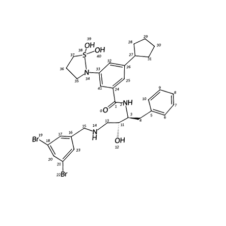 O=C(N[C@@H](Cc1ccccc1)[C@H](O)CNCc1cc(Br)cc(Br)c1)c1cc(C2CCCC2)cc(N2CCCS2(O)O)c1